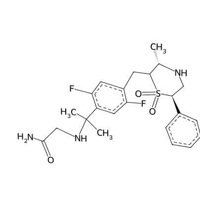 C[C@@H]1NC[C@@H](c2ccccc2)S(=O)(=O)C1Cc1cc(F)c(C(C)(C)NCC(N)=O)cc1F